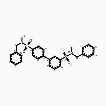 CC(C)N(Cc1ccccc1)S(=O)(=O)c1ccc(-c2[c]ccc(S(=O)(=O)N(C)Cc3ccccc3)c2)cc1